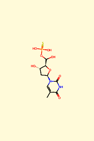 Cc1cn([C@H]2C[C@H](O)[C@@H](C(O)OP(O)(O)=S)O2)c(=O)[nH]c1=O